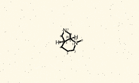 CN1CCC[C@@H]2C[N]C[C@@H]21